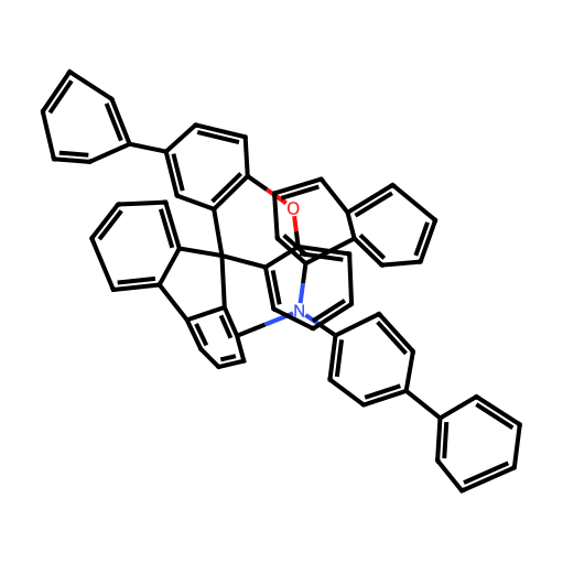 c1ccc(-c2ccc(N(c3cccc4c3C3(c5ccccc5Oc5ccc(-c6ccccc6)cc53)c3ccccc3-4)c3cccc4ccccc34)cc2)cc1